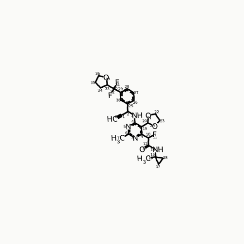 C#CC(Nc1nc(C)nc(C(F)C(=O)NC2(C)CC2)c1C1OCCO1)c1cccc(C(F)(F)C2CCCO2)c1